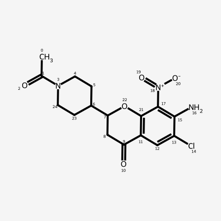 CC(=O)N1CCC(C2CC(=O)c3cc(Cl)c(N)c([N+](=O)[O-])c3O2)CC1